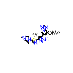 COc1cc(-c2[nH]nc(-c3ncc(N4CCN(C)CC4C)s3)c2C(C)C)cn2ncnc12